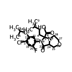 CC(C)CCC1(C(=O)O)N(c2cc(OC(C)C)c(Cl)cc2F)C(=O)C2COCCN21